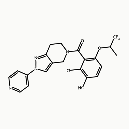 CC(Oc1ccc(C#N)c(Cl)c1C(=O)N1CCc2nn(-c3ccncc3)cc2C1)C(F)(F)F